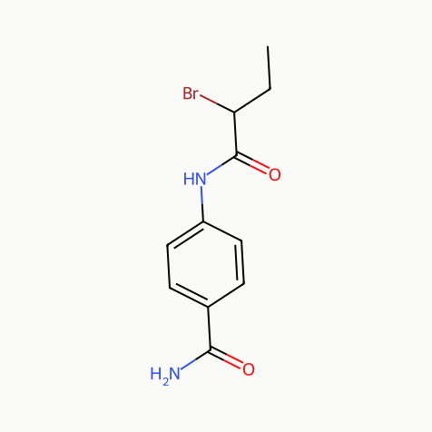 CCC(Br)C(=O)Nc1ccc(C(N)=O)cc1